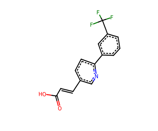 O=C(O)C=Cc1ccc(-c2cccc(C(F)(F)F)c2)nc1